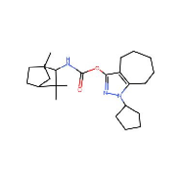 CC12CCC(C1)C(C)(C)C2NC(=O)Oc1nn(C2CCCC2)c2c1CCCCC2